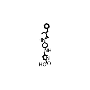 CC/C(=C\c1ccccc1)C1CC1NC1CCC(NCc2ccc(C(=O)O)nc2)CC1